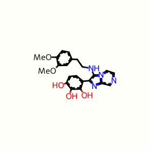 COc1ccc(CCNc2c(-c3ccc(O)c(O)c3O)nc3cnccn23)cc1OC